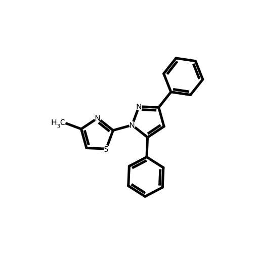 Cc1csc(-n2nc(-c3ccccc3)cc2-c2ccccc2)n1